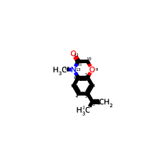 C=C(C)c1ccc2c(c1)OCC(=O)N2C